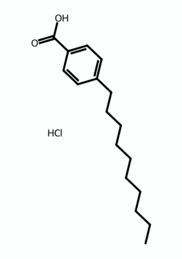 CCCCCCCCCCc1ccc(C(=O)O)cc1.Cl